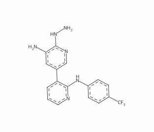 NNc1ncc(-c2cccnc2Nc2ccc(C(F)(F)F)cc2)cc1N